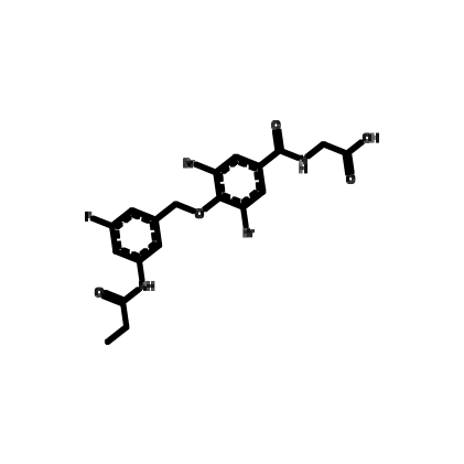 CCC(=O)Nc1cc(F)cc(COc2c(Br)cc(C(=O)NCC(=O)O)cc2Br)c1